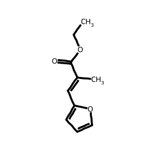 CCOC(=O)/C(C)=C/c1ccco1